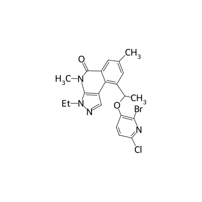 CCn1ncc2c3c(C(C)Oc4ccc(Cl)nc4Br)cc(C)cc3c(=O)n(C)c21